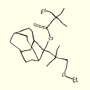 CCOCC(C)(C)C1(OC(=O)C(C)(C)CC)C2CC3CC(C2)CC1C3